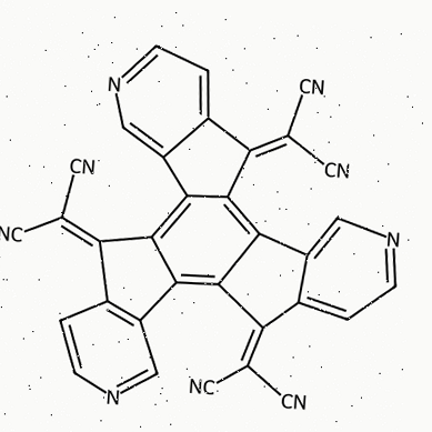 N#CC(C#N)=C1c2ccncc2-c2c1c1c(c3c2C(=C(C#N)C#N)c2ccncc2-3)C(=C(C#N)C#N)c2ccncc2-1